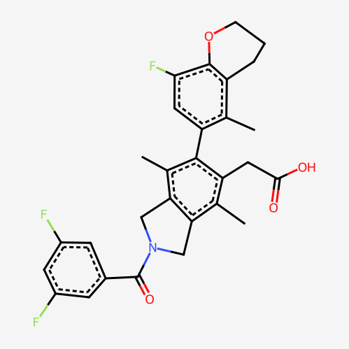 Cc1c(-c2c(C)c3c(c(C)c2CC(=O)O)CN(C(=O)c2cc(F)cc(F)c2)C3)cc(F)c2c1CCCO2